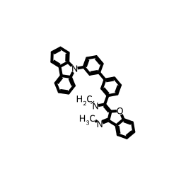 C=N/C(=C1/Oc2ccccc2/C1=N/C)c1cccc(-c2cccc(-n3c4ccccc4c4ccccc43)c2)c1